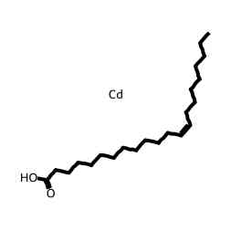 CCCCCCCC/C=C\CCCCCCCCCCCC(=O)O.[Cd]